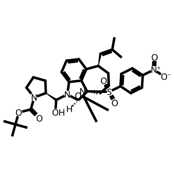 CC(C)=C[C@H]1CCC[C@]23c4c1cccc4N(C(O)[C@@H]1CCCN1C(=O)OC(C)(C)C)[C@H]2OC(C)(C)N3S(=O)(=O)c1ccc([N+](=O)[O-])cc1